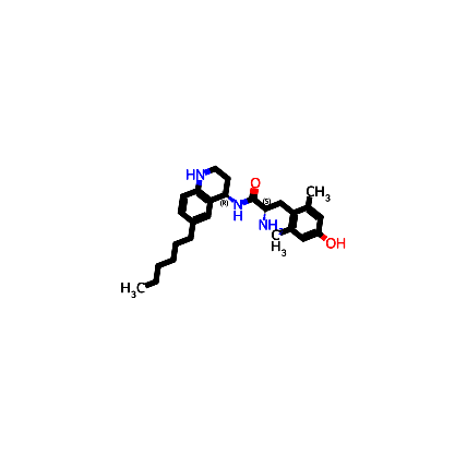 CCCCCCc1ccc2c(c1)[C@H](NC(=O)[C@@H](N)Cc1c(C)cc(O)cc1C)CCN2